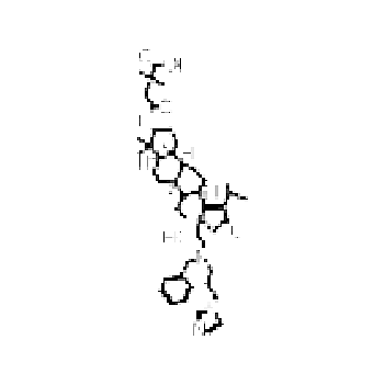 CC(C)C1=C2[C@H]3CC[C@@H]4[C@@]5(C)CC[C@H](OC(=O)CC(C)(C)C(=O)O)C(C)(C)[C@@H]5CC[C@@]4(C)[C@]3(C)CC[C@@]2([C@H](O)CN(CCCn2ccnc2)Cc2ccccc2)CC1=O